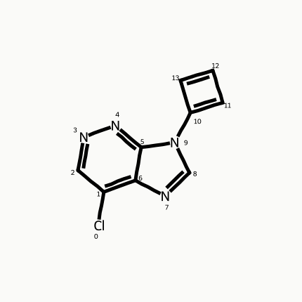 Clc1cnnc2c1ncn2C1=CC=C1